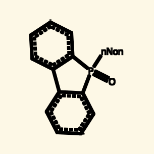 CCCCCCCCCP1(=O)c2c[c]ccc2-c2cc[c]cc21